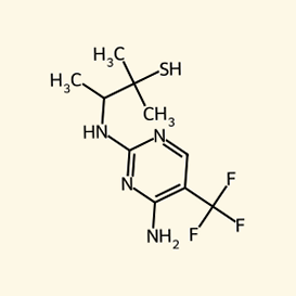 CC(Nc1ncc(C(F)(F)F)c(N)n1)C(C)(C)S